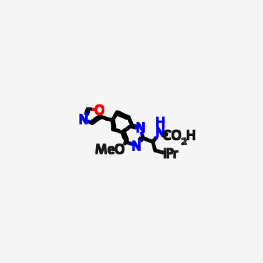 COc1nc(C(CC(C)C)NC(=O)O)nc2ccc(-c3cnco3)cc12